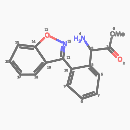 COC(=O)C(N)c1ccccc1-c1noc2ccccc12